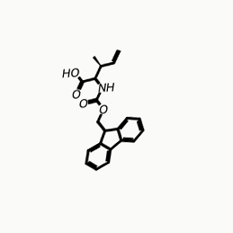 C=C[C@H](C)C(NC(=O)OCC1c2ccccc2-c2ccccc21)C(=O)O